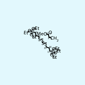 C=CC(=O)OC.CCO[Si](CCCSSSSCCC[Si](OCC)(OCC)OCC)(OCC)OCC